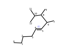 CCCC/C=C/C(C)C(C)C(C)C